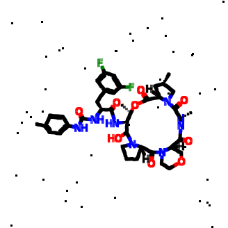 Cc1ccc(NC(=O)N[C@@H](Cc2cc(F)cc(F)c2)C(=O)N[C@@H]2C(O)N3CCC[C@H]3C(=O)N3CCOC[C@H]3C(=O)N[C@@H](C)C(=O)N3C[C@H](C)C[C@H]3C(=O)O[C@H]2C)cc1